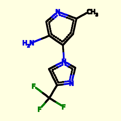 Cc1cc(-n2cnc(C(F)(F)F)c2)c(N)cn1